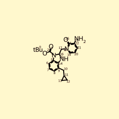 CC(C)(C)OC(=O)N1c2cccc(CC3CC3)c2NC1Cn1cccc(N)c1=O